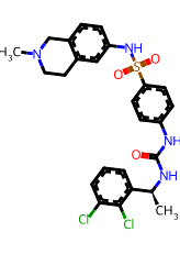 C[C@H](NC(=O)Nc1ccc(S(=O)(=O)Nc2ccc3c(c2)CCN(C)C3)cc1)c1cccc(Cl)c1Cl